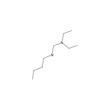 CCCC[N]CN(CC)CC